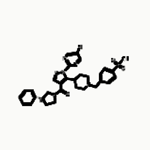 CS(=O)(=O)c1ccc(CN2CCC(c3c(C(=O)N4CC[C@H](c5ccccc5)C4)cnn3-c3ncc(Cl)cn3)CC2)cc1